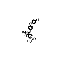 CC(=O)N1CCC(CSc2ccc(Oc3ccc(Cl)cc3)cc2)(C(=O)NO)CC1